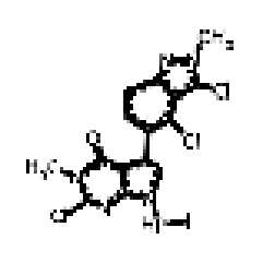 Cn1nc2ccc(-c3cn(PI)c4nc(Cl)n(C)c(=O)c34)c(Cl)c2c1Cl